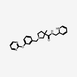 CC1(C(=O)NCC2C=CC=CN2)CCN(Cc2cccc(Oc3ncccn3)c2)C1